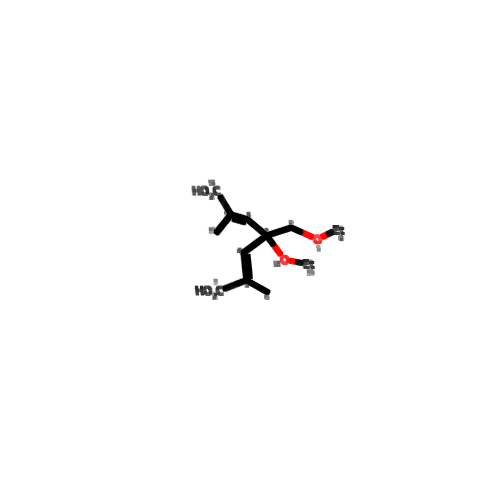 CCOCC(C=C(C)C(=O)O)(C=C(C)C(=O)O)OCC